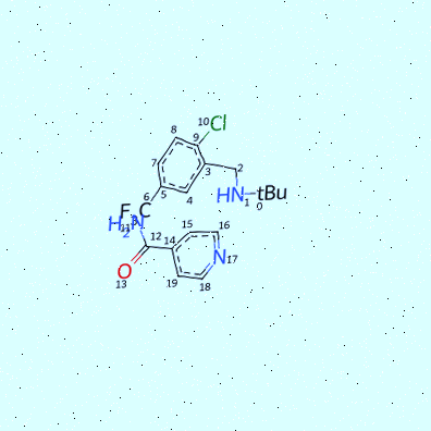 CC(C)(C)NCc1cc(C(F)(F)F)ccc1Cl.NC(=O)c1ccncc1